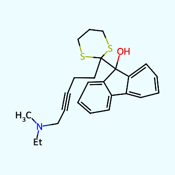 CCN(C)CC#CCCC1(C2(O)c3ccccc3-c3ccccc32)SCCCS1